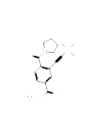 COC(=O)c1ccc(C(=O)N2CCCC2)c(C#C[Si](C)(C)C)c1